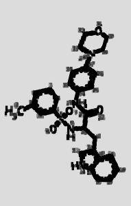 Cc1cccc(S(=O)(=O)NC(Cc2c[nH]c3ccccc23)C(=O)Nc2ccc(N3CCOCC3)cc2)c1